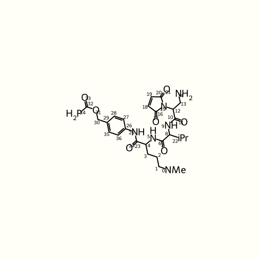 CNCCCC(NC(=O)C(NC(=O)C(CN)N1C(=O)C=CC1=O)C(C)C)C(=O)Nc1ccc(COC(=O)P)cc1